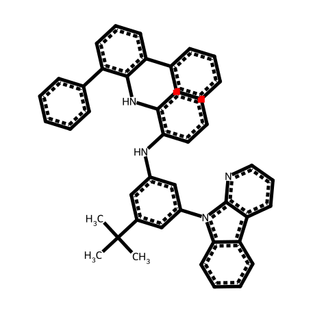 CC(C)(C)c1cc(Nc2ccccc2Nc2c(-c3ccccc3)cccc2-c2ccccc2)cc(-n2c3ccccc3c3cccnc32)c1